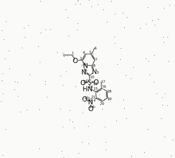 CCOc1cc(C)cc2nc(S(=O)(=O)Nc3c(C)cccc3[N+](=O)[O-])nn12